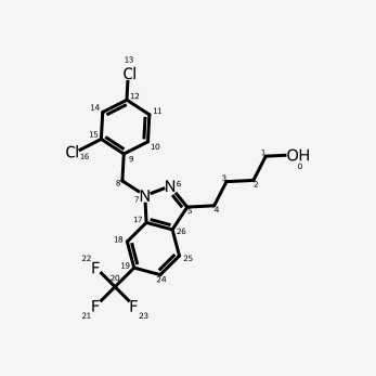 OCCCCc1nn(Cc2ccc(Cl)cc2Cl)c2cc(C(F)(F)F)ccc12